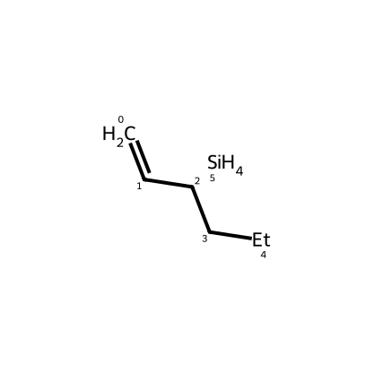 C=CCCCC.[SiH4]